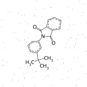 CC(C)(C)c1cccc(N2C(=O)c3ccccc3C2=O)c1